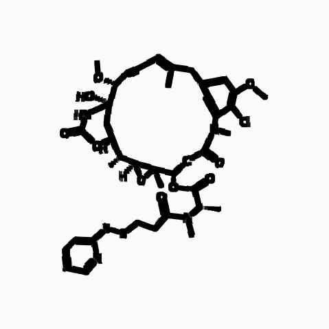 COc1cc2cc(c1Cl)N(C)C(=O)C[C@H](OC(=O)[C@H](C)N(C)C(=O)CCSSc1ccccn1)[C@]1(C)O[C@H]1[C@H](C)[C@@H]1C[C@@](O)(NC(=O)O1)[C@H](OC)/C=C/C=C(\C)C2